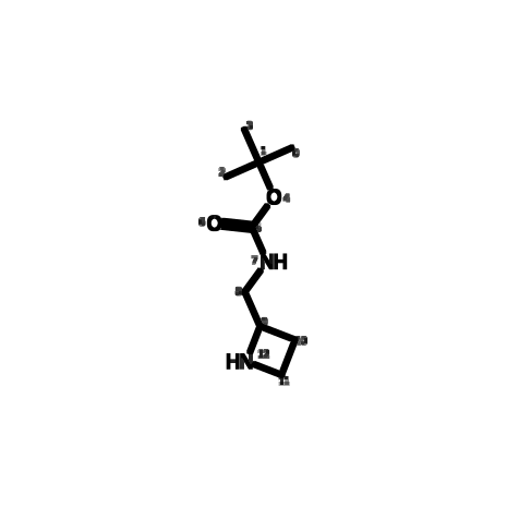 CC(C)(C)OC(=O)NCC1CCN1